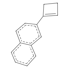 C1=C(c2ccc3ccccc3c2)CC1